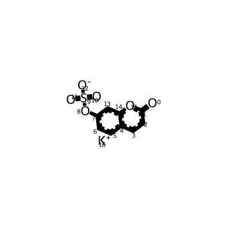 O=c1ccc2ccc(OS(=O)(=O)[O-])cc2o1.[K+]